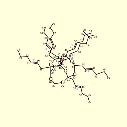 CCC/C=C/CC1OC(C/C=C/CCC)OC2(C/C=C/CCCC(C)C)OC3OCOC(C/C=C/CCC)(OC(C/C=C/CCC)OC(C/C=C/CCC)(O1)OC(C/C=C/CCC)O3)O2